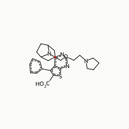 O=C(O)c1sc2ncnc(N3C4CCC3CC(COCCN3CCCC3)C4)c2c1-c1ccccc1